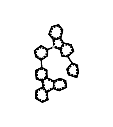 c1ccc(-c2ccc3c4ccccc4n(-c4cccc(-c5ccc6c7ccccc7c7ccccc7c6c5)c4)c3c2)cc1